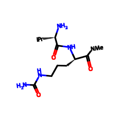 CNC(=O)[C@H](CCCNC(N)=O)NC(=O)[C@@H](N)C(C)C